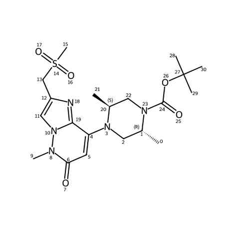 C[C@@H]1CN(c2cc(=O)n(C)n3cc(CS(C)(=O)=O)nc23)[C@@H](C)CN1C(=O)OC(C)(C)C